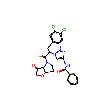 O=C(NC1=CN(C(Cc2ccc(Cl)c(Cl)c2)C(=O)N2CCC3OCC(=O)C32)NS1)c1ccccc1